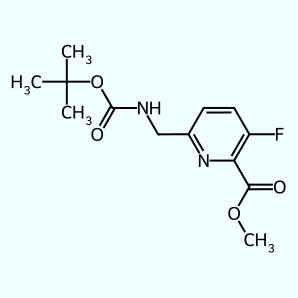 COC(=O)c1nc(CNC(=O)OC(C)(C)C)ccc1F